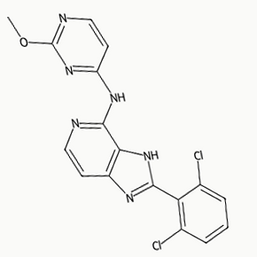 COc1nccc(Nc2nccc3nc(-c4c(Cl)cccc4Cl)[nH]c23)n1